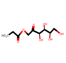 O=C(O)CC(=O)OCC(=O)[C@H](O)[C@@H](O)[C@H](O)CO